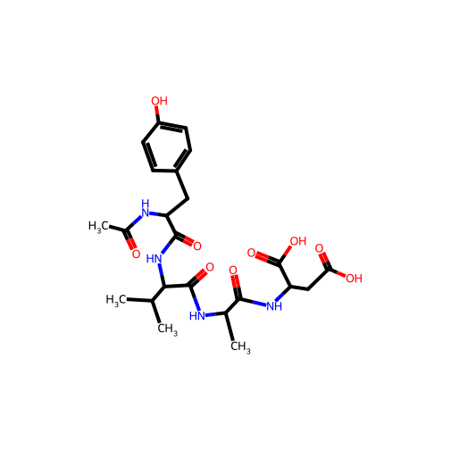 CC(=O)NC(Cc1ccc(O)cc1)C(=O)NC(C(=O)NC(C)C(=O)NC(CC(=O)O)C(=O)O)C(C)C